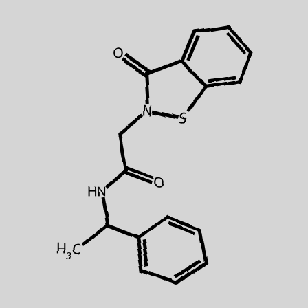 CC(NC(=O)Cn1sc2ccccc2c1=O)c1ccccc1